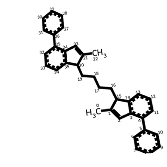 CC1=Cc2c(-c3ccccc3)cccc2C1CCCCC1C(C)=Cc2c(-c3ccccc3)cccc21